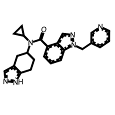 O=C(c1cccc2c1cnn2Cc1cccnc1)N(C1CC1)C1CCc2[nH]ncc2C1